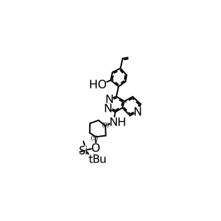 C=Cc1ccc(-c2nnc(N[C@@H]3CCC[C@H](O[Si](C)(C)C(C)(C)C)C3)c3cnccc23)c(O)c1